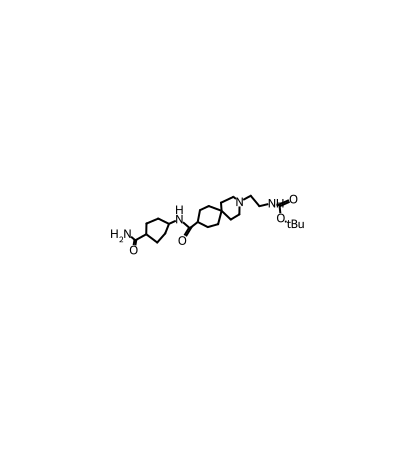 CC(C)(C)OC(=O)NCCN1CCC2(CCC(C(=O)NC3CCC(C(N)=O)CC3)CC2)CC1